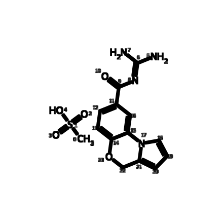 CS(=O)(=O)O.NC(N)=NC(=O)c1ccc2c(c1)-n1cccc1CO2